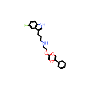 Fc1ccc2[nH]cc(CCCNCCOC3=COC(C4=CC=CCC4)=CO3)c2c1